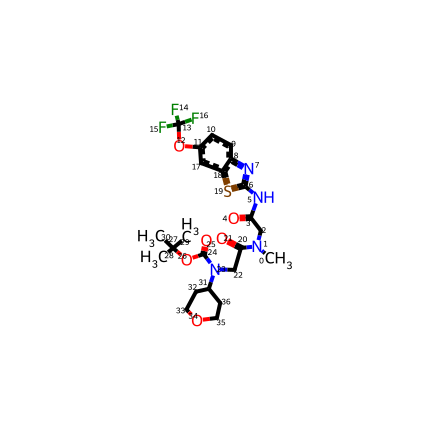 CN(CC(=O)Nc1nc2ccc(OC(F)(F)F)cc2s1)C(=O)CN(C(=O)OC(C)(C)C)C1CCOCC1